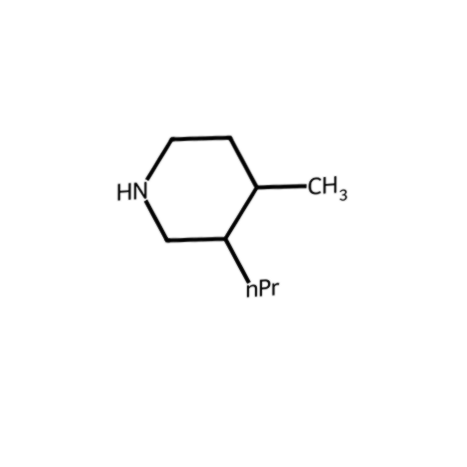 CCCC1CNCCC1C